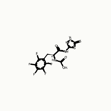 O=C(O)N[C@@H](Cc1c(F)c(F)c(F)c(F)c1F)C(=O)Nc1n[nH]c(=S)s1